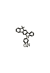 CC1(C)c2ccccc2-c2cc3c(cc21)c1ccccc1n3-c1ccc2ocnc2c1